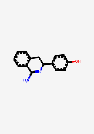 NC1=NC(c2ccc(O)cc2)Cc2ccccc21